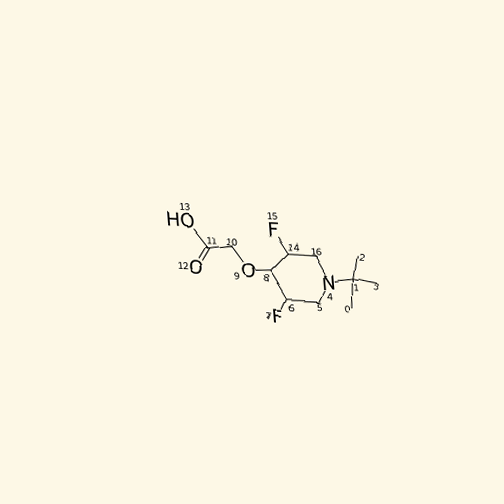 CC(C)(C)N1CC(F)C(OCC(=O)O)C(F)C1